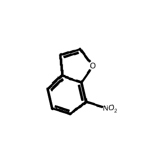 O=[N+]([O-])c1cccc2ccoc12